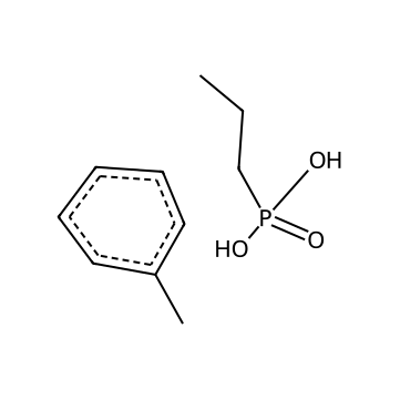 CCCP(=O)(O)O.Cc1ccccc1